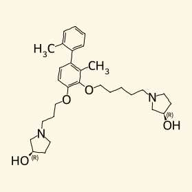 Cc1ccccc1-c1ccc(OCCCN2CC[C@@H](O)C2)c(OCCCCCN2CC[C@@H](O)C2)c1C